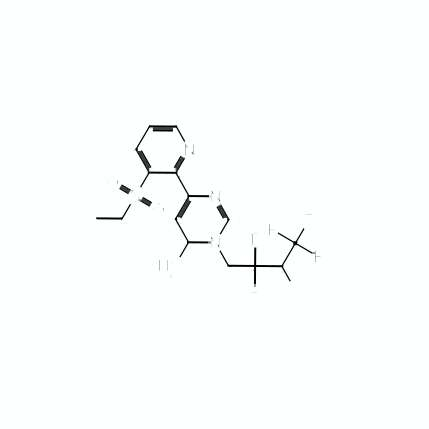 CCS(=O)(=O)c1cccnc1C1=CC(S)N(CC(F)(F)C(F)C(F)(F)F)C=N1